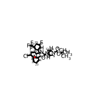 CC(C)(C)OC(=O)N1C[C@@H]2C[C@H]1CN2C(=O)N[C@@](Cc1ccccc1)(c1cc(F)cc(C(F)(F)F)c1)c1ccc(Cl)cn1